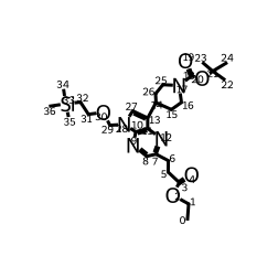 CCOC(=O)CCc1cnc2c(n1)c(C1CCN(C(=O)OC(C)(C)C)CC1)cn2COCC[Si](C)(C)C